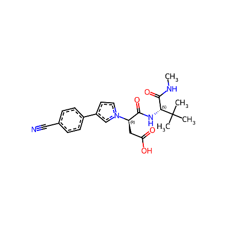 CNC(=O)[C@@H](NC(=O)[C@@H](CC(=O)O)n1ccc(-c2ccc(C#N)cc2)c1)C(C)(C)C